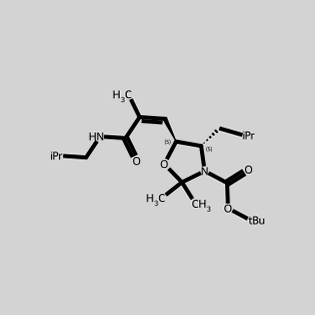 CC(=C[C@@H]1OC(C)(C)N(C(=O)OC(C)(C)C)[C@H]1CC(C)C)C(=O)NCC(C)C